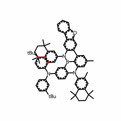 Cc1cc2c3c(c1)N(c1cc4c(cc1C)C(C)(C)CCC4(C)C)c1ccc(N(c4ccc(C(C)(C)C)cc4)c4cccc(C(C)(C)C)c4)cc1B3N(c1ccc3c(c1)C(C)(C)CCC3(C)C)c1cc3c(cc1-2)oc1ccccc13